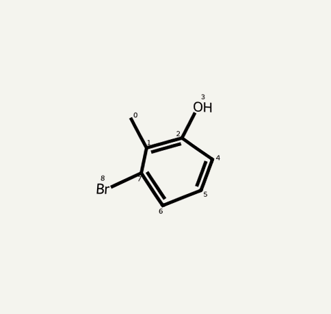 Cc1c(O)[c]ccc1Br